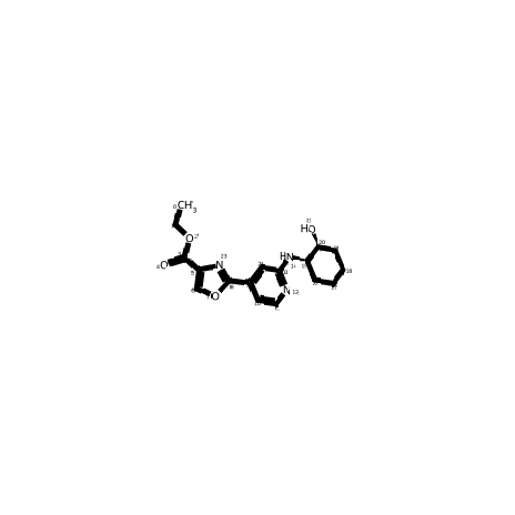 CCOC(=O)c1coc(-c2ccnc(N[C@@H]3CCCC[C@@H]3O)c2)n1